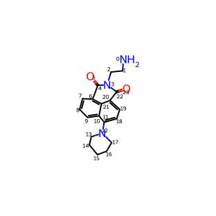 NCCN1C(=O)c2cccc3c(N4CCCCC4)ccc(c23)C1=O